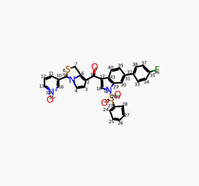 O=C(c1ccn2c1CSC2c1ccc[n+]([O-])c1)c1cn(S(=O)(=O)c2ccccc2)c2cc(-c3ccc(F)cc3)ccc12